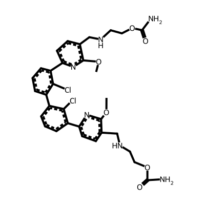 COc1nc(-c2cccc(-c3cccc(-c4ccc(CNCCOC(N)=O)c(OC)n4)c3Cl)c2Cl)ccc1CNCCOC(N)=O